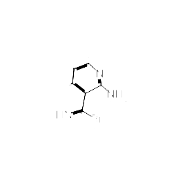 N=C(Br)c1cccnc1N